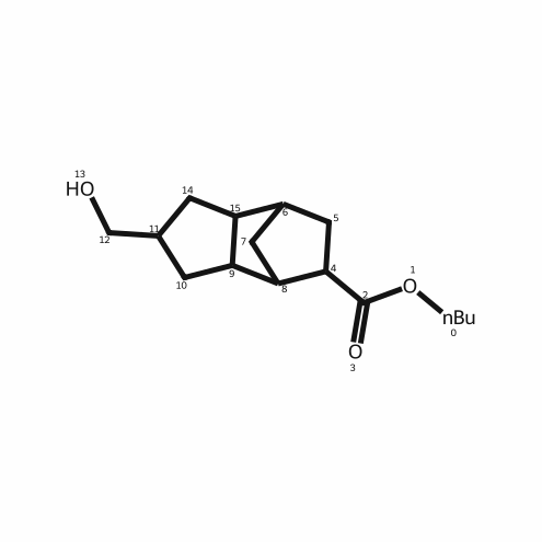 CCCCOC(=O)C1CC2CC1C1CC(CO)CC21